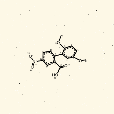 COc1ccc(OC)c(-c2ccc([N+](=O)[O-])cc2C(=O)O)c1